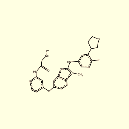 CC(C)NCC(=O)Nc1cc(Oc2ccc3c(c2)nc(Nc2ccc(F)c(C4CCOC4)c2)n3C)ccn1